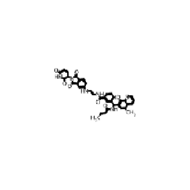 CCCC(=O)NC(c1cccc(C(=O)NCCNc2ccc3c(c2)C(=O)N(C2CCC(=O)NC2=O)C3=O)c1)c1cc(C)c2cccnc2c1O